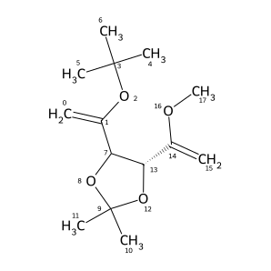 C=C(OC(C)(C)C)C1OC(C)(C)O[C@H]1C(=C)OC